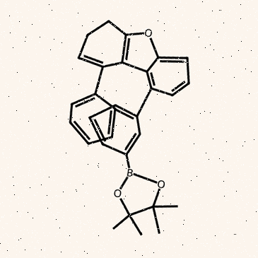 CC1(C)OB(c2cccc(-c3cccc4oc5c(c34)C(c3ccccc3)=CCC5)c2)OC1(C)C